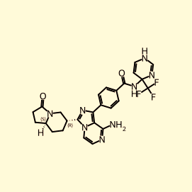 Nc1nccn2c([C@@H]3CC[C@H]4CCC(=O)N4C3)nc(-c3ccc(C(=O)NC4(C(F)(F)F)C=CNC=N4)cc3)c12